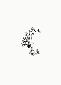 CC(=O)c1ccc2c(c1)CC[C@@H]2NC(=O)c1cc(C(=O)NCc2ccc(F)c(OC(F)F)c2)nc2ccnn12